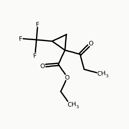 CCOC(=O)C1(C(=O)CC)CC1C(F)(F)F